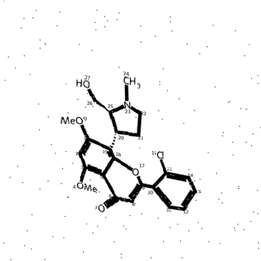 COc1cc(OC)c2c(=O)cc(-c3ccccc3Cl)oc2c1[C@H]1CCN(C)[C@@H]1CO